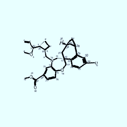 C=C[C@H](OC)[C@@H]1CC[C@H]1CN1C[C@]2(COc3ccc(C(=O)OC)cc31)C[C@@H]1CC1c1cc(Cl)ccc12